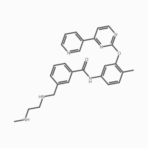 CNCCNCc1cccc(C(=O)Nc2ccc(C)c(Oc3nccc(-c4cccnc4)n3)c2)c1